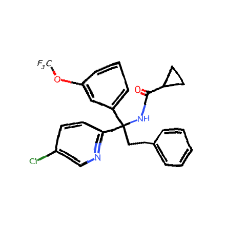 O=C(NC(Cc1ccccc1)(c1cccc(OC(F)(F)F)c1)c1ccc(Cl)cn1)C1CC1